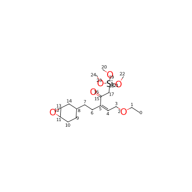 CCOCC=C(CCC1CCC2OC2C1)C(=O)C[Si](OC)(OC)OC